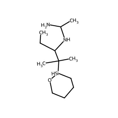 CCC(NC(C)N)C(C)(C)[SiH]1CCCCO1